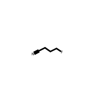 N#CCCCF